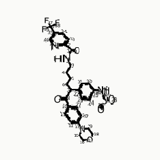 O=C(NCCCCC(C(=O)c1ccc(N2CCOCC2)cc1)c1ccc(N[SH](=O)=O)cc1)c1ccc(C(F)(F)F)cn1